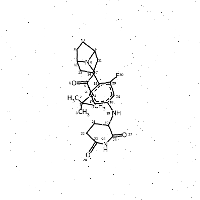 CC(C)(C)OC(=O)CN1C2CCC1CC(c1ccc(NC3CCC(=O)NC3=O)cc1F)C2